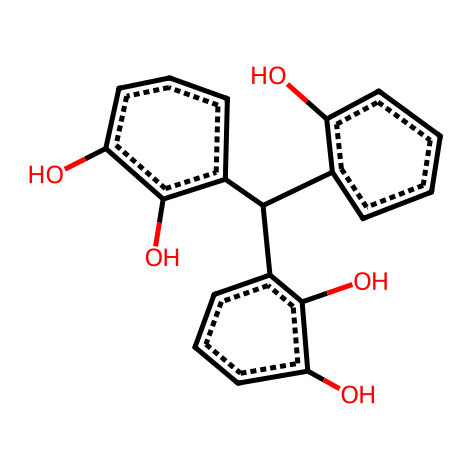 Oc1ccccc1C(c1cccc(O)c1O)c1cccc(O)c1O